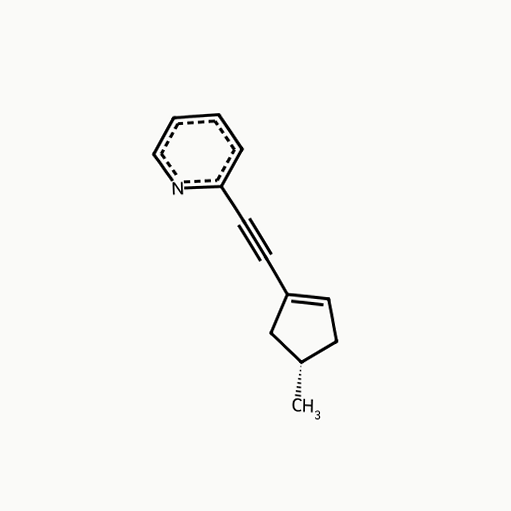 C[C@H]1CC=C(C#Cc2ccccn2)C1